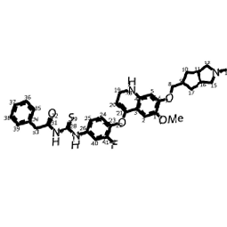 COc1cc2c(cc1OCC1CC3CN(C)CC3C1)NCC=C2Oc1ccc(NC(=S)NC(=O)Cc2ccccc2)cc1F